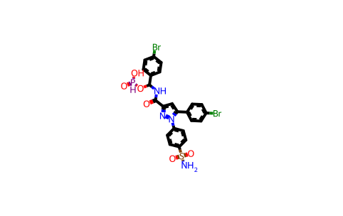 NS(=O)(=O)c1ccc(-n2nc(C(=O)NC(O[PH](=O)O)c3ccc(Br)cc3)cc2-c2ccc(Br)cc2)cc1